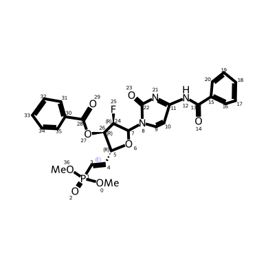 COP(=O)(/C=C/[C@H]1OC(n2ccc(NC(=O)c3ccccc3)nc2=O)[C@H](F)[C@@H]1OC(=O)c1ccccc1)OC